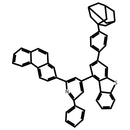 c1ccc(-c2cc(-c3cc(-c4ccc(C56CC7CC(CC(C7)C5)C6)cc4)cc4sc5ccccc5c34)cc(-c3ccc4c(ccc5ccccc54)c3)n2)cc1